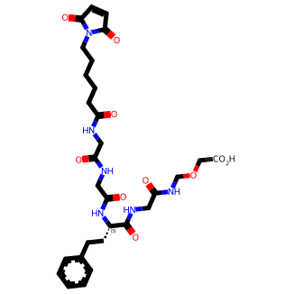 O=C(O)COCNC(=O)CNC(=O)[C@H](CCc1ccccc1)NC(=O)CNC(=O)CNC(=O)CCCCCN1C(=O)C=CC1=O